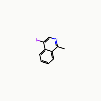 Cc1ncc(I)c2ccccc12